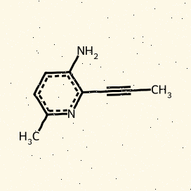 CC#Cc1nc(C)ccc1N